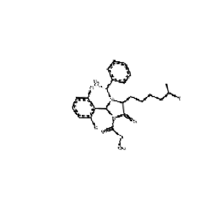 C[C@H](c1ccccc1)N1C(CCCCC(F)F)C(=O)N(C(=O)OC(C)(C)C)C1c1c(Cl)cccc1Cl